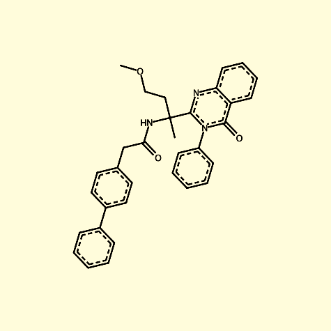 COCCC(C)(NC(=O)Cc1ccc(-c2ccccc2)cc1)c1nc2ccccc2c(=O)n1-c1ccccc1